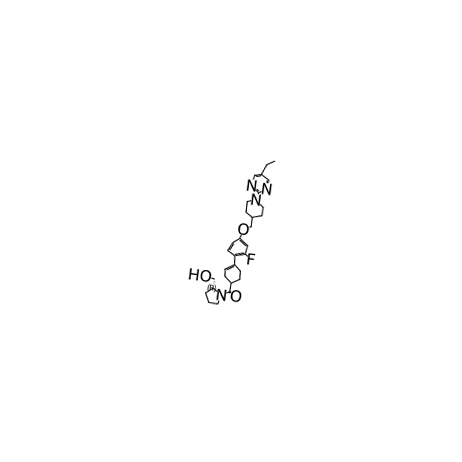 CCc1cnc(N2CCC(COc3ccc(C4=CCC(C(=O)N5CCC[C@@H]5CO)CC4)c(F)c3)CC2)nc1